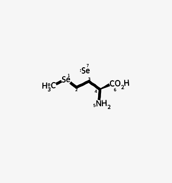 C[Se]CC[C@H](N)C(=O)O.[Se]